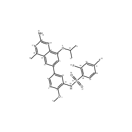 COc1ncc(-c2cc(OC(C)C)c3nc(N)nc(C)c3c2)cc1NS(=O)(=O)c1ccc(F)cc1F